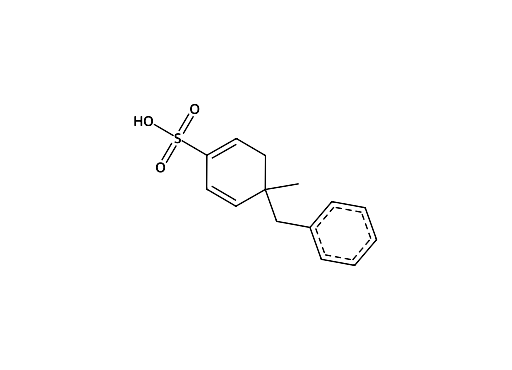 CC1(Cc2ccccc2)C=CC(S(=O)(=O)O)=CC1